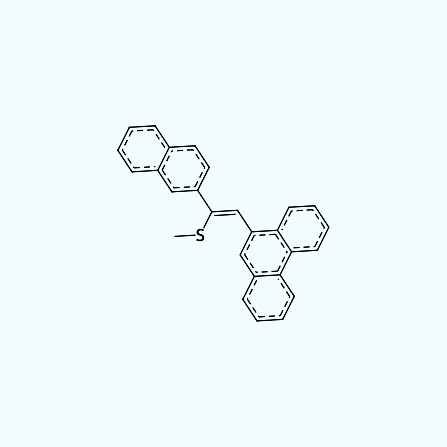 CS/C(=C\c1cc2ccccc2c2ccccc12)c1ccc2ccccc2c1